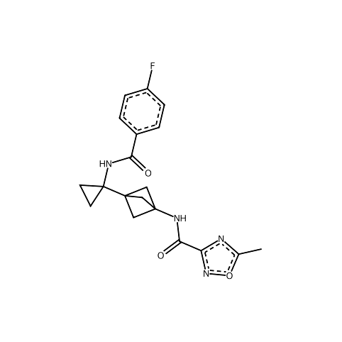 Cc1nc(C(=O)NC23CC(C4(NC(=O)c5ccc(F)cc5)CC4)(C2)C3)no1